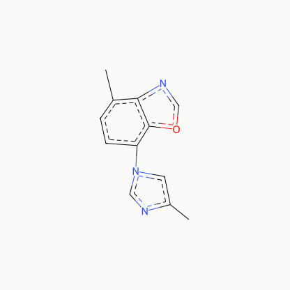 Cc1cn(-c2ccc(C)c3ncoc23)cn1